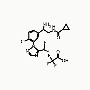 NC(CNC(=O)C1CC1)c1ccc(Cl)c(-n2ncnc2C(F)F)c1.O=C(O)C(F)(F)F